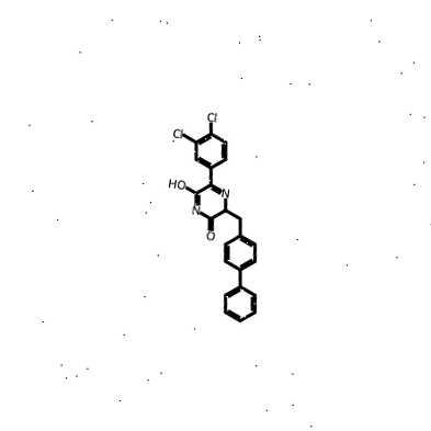 O=C1N=C(O)C(c2ccc(Cl)c(Cl)c2)=NC1Cc1ccc(-c2ccccc2)cc1